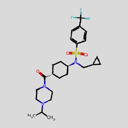 CC(C)N1CCN(C(=O)[C@H]2CC[C@H](N(CC3CC3)S(=O)(=O)c3ccc(C(F)(F)F)cc3)CC2)CC1